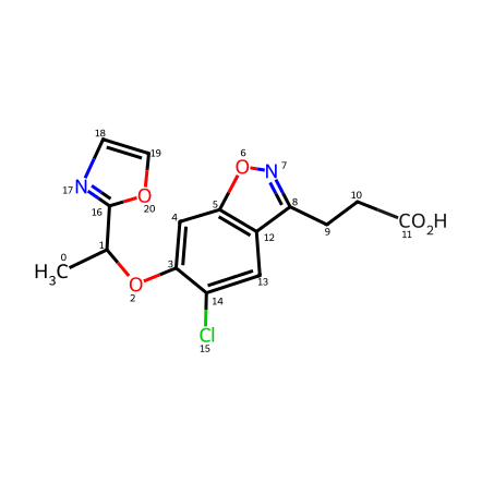 CC(Oc1cc2onc(CCC(=O)O)c2cc1Cl)c1ncco1